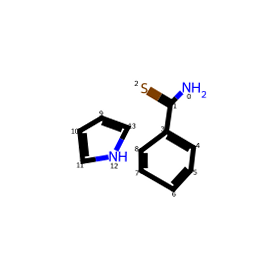 NC(=S)c1ccccc1.c1cc[nH]c1